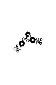 O=S(=O)(F)Oc1ccc(OC(Oc2ccc(OS(=O)(=O)F)cc2)c2ccco2)cc1